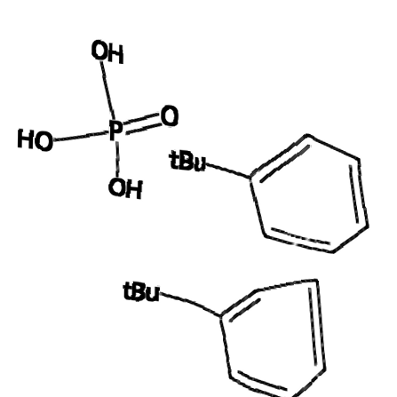 CC(C)(C)c1ccccc1.CC(C)(C)c1ccccc1.O=P(O)(O)O